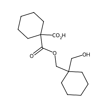 O=C(O)C1(C(=O)OCC2(CO)CCCCC2)CCCCC1